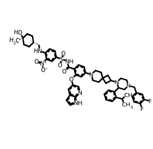 CC(C)c1ccccc1C1CN(Cc2ccc(F)c(F)c2)CCN1C1CC2(CCN(c3ccc(C(=O)NS(=O)(=O)c4ccc(NC[C@H]5CC[C@](C)(O)CC5)c([N+](=O)[O-])c4)c(Oc4cnc5[nH]ccc5c4)c3)CC2)C1